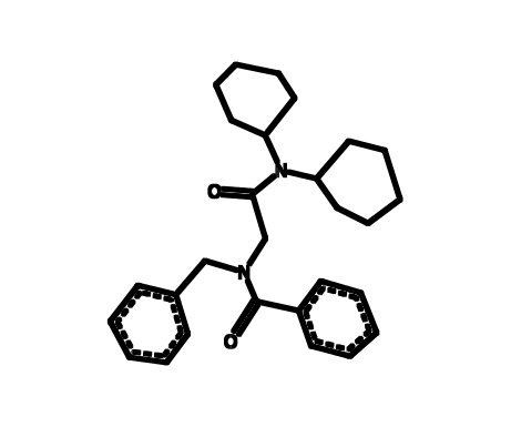 O=C(c1ccccc1)N(CC(=O)N(C1CCCCC1)C1CCCCC1)Cc1ccccc1